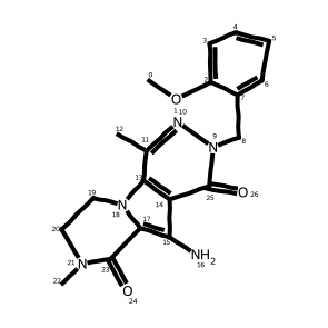 COc1ccccc1Cn1nc(C)c2c(c(N)c3n2CCN(C)C3=O)c1=O